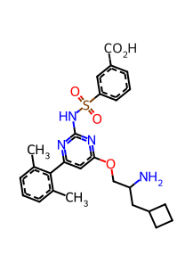 Cc1cccc(C)c1-c1cc(OCC(N)CC2CCC2)nc(NS(=O)(=O)c2cccc(C(=O)O)c2)n1